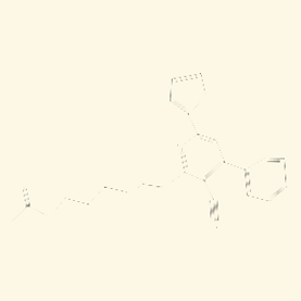 CC(=O)OCCCSCSc1nc(-c2cccs2)cc(-c2ccccc2)c1C#N